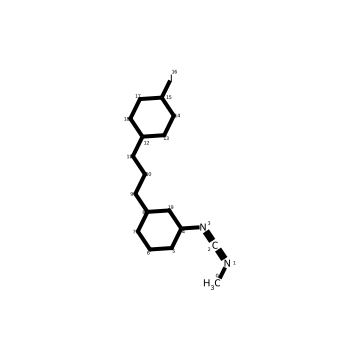 CN=C=NC1CCCC(CCCC2CCC(I)CC2)C1